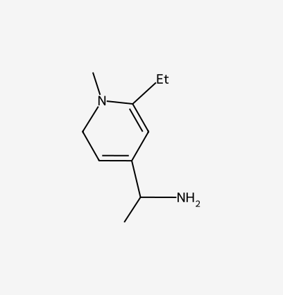 CCC1=CC(C(C)N)=CCN1C